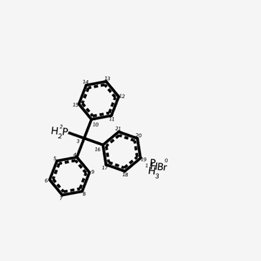 Br.P.PC(c1ccccc1)(c1ccccc1)c1ccccc1